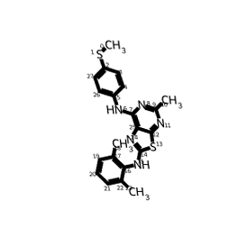 CSc1ccc(Nc2nc(C)nc3sc(Nc4c(C)cccc4C)nc23)cc1